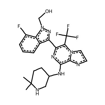 CC1(C)CCC(Nc2nc(-c3nn(CO)c4c(F)cccc34)c(C(F)(F)F)n3ccnc23)CN1